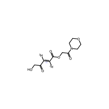 [2H]/C(C(=O)CO)=C(/[2H])C(=O)OCC(=O)N1CCOCC1